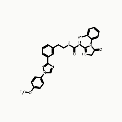 CC(C)c1ccccc1N1C(=O)C[SH]=C1NC(=O)NCCc1cccc(-c2ncn(-c3ccc(OC(F)(F)F)cc3)n2)c1